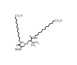 CNC(CSSCC(C(=O)NCCCCCCCCCCCC(=O)O)N(C)C)C(=O)NCCCCCCCCCCCC(=O)O